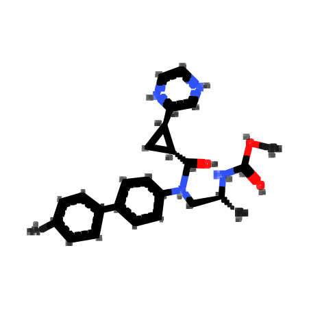 CCCc1ccc(-c2ccc(N(C[C@@H](NC(=O)OC(C)(C)C)[C@@H](C)CC)C(=O)[C@@H]3C[C@H]3c3cnccn3)cc2)cc1